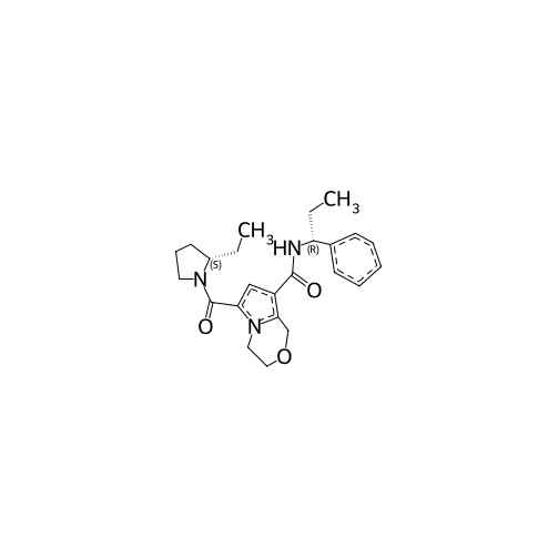 CC[C@H]1CCCN1C(=O)c1cc(C(=O)N[C@H](CC)c2ccccc2)c2n1CCOC2